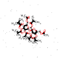 CC(=O)OC[C@H]1O[C@@](COC(=O)C(C)C)(O[C@H]2O[C@H](COC(C)=O)[C@@H](OC(=O)C(C)C)[C@H](OC(=O)C(C)C)[C@H]2OC(=O)C(C)C)[C@@H](OC(=O)C(C)C)[C@@H]1OC(=O)C(C)C